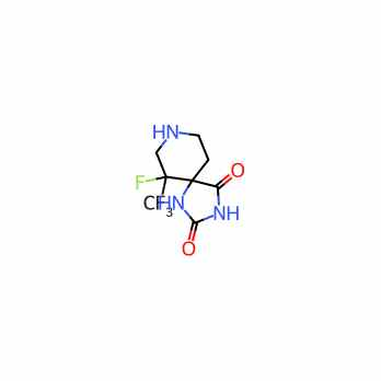 O=C1NC(=O)C2(CCNCC2(F)C(F)(F)F)N1